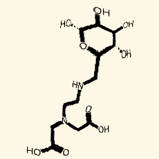 O=C(O)CN(CCNCC1O[C@H](O)C(O)C(O)[C@@H]1O)CC(=O)O